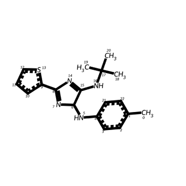 Cc1ccc(NC2N=C(c3cccs3)N=C2NC(C)(C)C)cc1